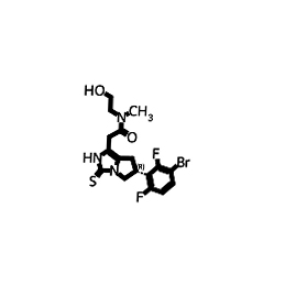 CN(CCO)C(=O)Cc1[nH]c(=S)n2c1C[C@H](c1c(F)ccc(Br)c1F)C2